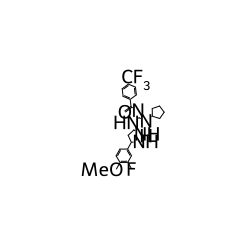 COc1ccc(C2CC(N/C(=N\C(=O)c3ccc(C(F)(F)F)cc3)NC3CCCC3)NN2)cc1F